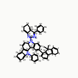 CC1(C)C2=C(CCC=C2)c2cccc(-c3ccc4c(c3)C3c5c(c6ccccc6n5-c5ccccc5)C=CC3N4c3nc(-c4ccccc4)c4c(n3)=CCCC=4)c21